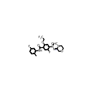 Cc1ccc(F)cc1NC(=O)c1cc(F)c(N(C)/N=C2/COCCN2C=O)cc1OCC(F)(F)F